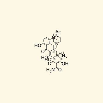 CC(=O)N1CCN(C[C@@]23Cc4c(N(C)C)ccc(O)c4C(=O)C2=C(O)[C@]2(O)C(=O)C(C(N)=O)=C(O)[C@@H](N(C)C)[C@@H]2C3)CC1